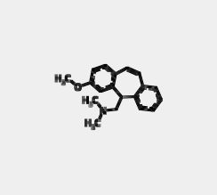 COc1ccc2c(c1)C(CN(C)C)c1ccccc1C=C2